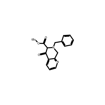 CC(C)(C)OC(=O)C1C(=O)c2cccnc2CN1Cc1ccccc1